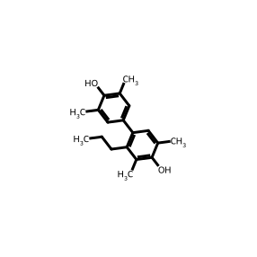 CCCc1c(-c2cc(C)c(O)c(C)c2)cc(C)c(O)c1C